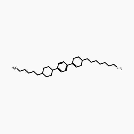 CCCCCCCCC1CC=C(c2ccc(C3CCC(CCCCCC)CC3)cc2)CC1